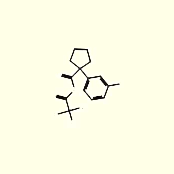 O=C(OC(=O)C1(c2cccc(F)c2)CCCC1)C(Cl)(Cl)Br